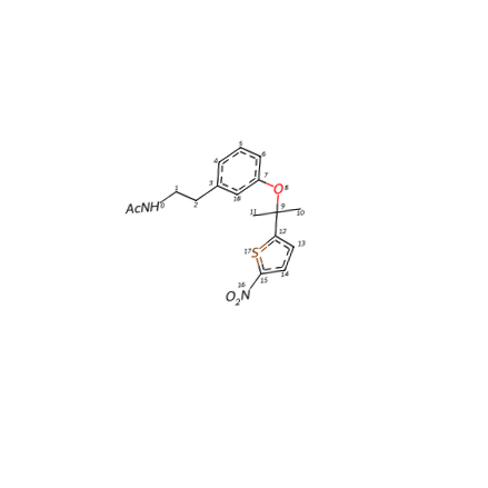 CC(=O)NCCc1cccc(OC(C)(C)c2ccc([N+](=O)[O-])s2)c1